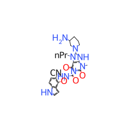 CCCN1c2c(n(C)c(=O)n(C(=O)NOc3c(C#N)ccc4[nH]ccc34)c2=O)NC1N1CCCC(N)C1